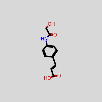 O=C(O)/C=C/c1ccc(NC(=O)CO)cc1